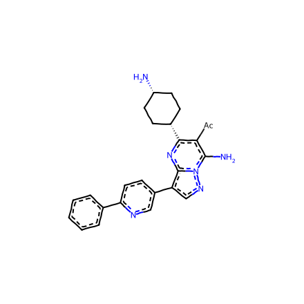 CC(=O)c1c(N)n2ncc(-c3ccc(-c4ccccc4)nc3)c2nc1[C@H]1CC[C@@H](N)CC1